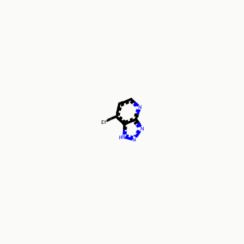 CCc1ccnc2nn[nH]c12